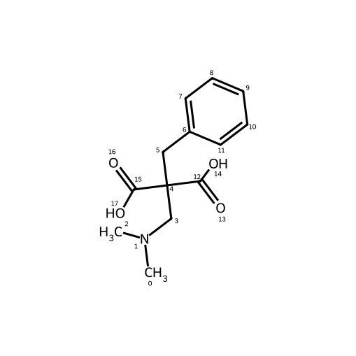 CN(C)CC(Cc1ccccc1)(C(=O)O)C(=O)O